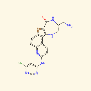 NCC1CNc2c(sc3ccc4nc(Nc5cc(Cl)ncn5)ccc4c23)C(=O)N1